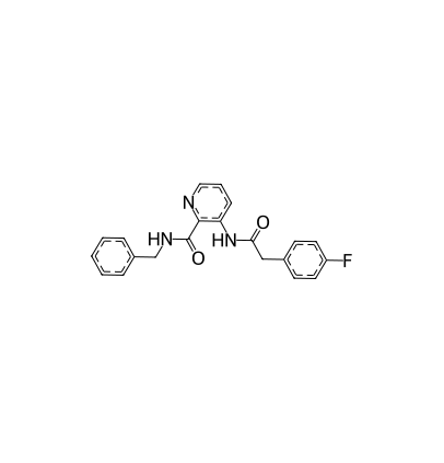 O=C(Cc1ccc(F)cc1)Nc1cccnc1C(=O)NCc1ccccc1